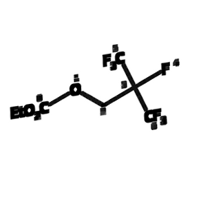 CCOC(=O)OCC(F)(C(F)(F)F)C(F)(F)F